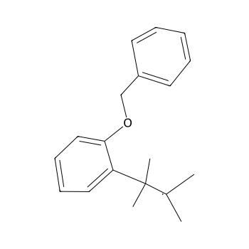 C[C](C)C(C)(C)c1ccccc1OCc1ccccc1